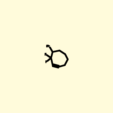 CC(C)C1CCCCC#CC1(F)F